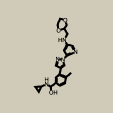 Cc1ccc(C(O)NC2CC2)cc1-c1cnn(-c2cncc(NCC3COCCO3)c2)c1